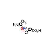 COc1ccc(C(=O)O)cc1C1=C(CN2C(=O)O[C@H](c3cc(C(F)(F)F)cc(C(F)(F)F)c3)[C@@H]2C)CCCC1